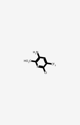 Nc1cc(C(F)(F)F)c(Cl)nc1C(=O)O